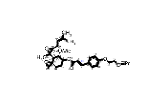 CO[C@@H]1C(OC(=O)/C=C/c2ccc(OCCOC(C)C)cc2)CC[C@]2(CO2)[C@H]1C1(C)O[C@H]1CC=C(C)C